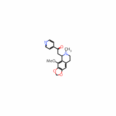 COc1c2c(cc3c1C(CC(=O)c1ccncc1)N(C)CC3)OCO2